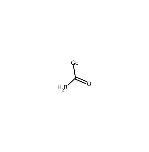 B[C](=O)[Gd]